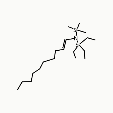 CCCCCCCCC=CN([Si](C)(C)C)[Si](CC)(CC)CC